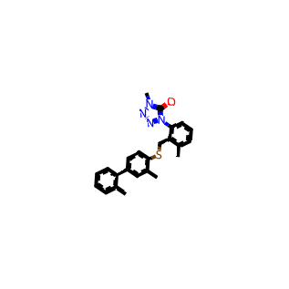 Cc1cc(-c2ccccc2C)ccc1SCc1c(C)cccc1-n1nnn(C)c1=O